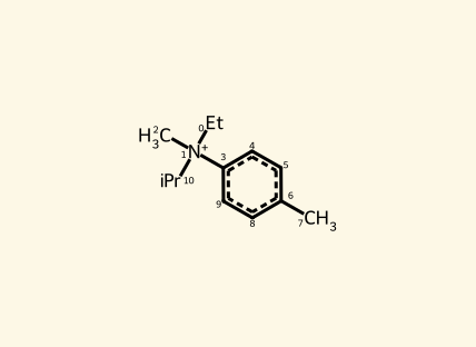 CC[N+](C)(c1ccc(C)cc1)C(C)C